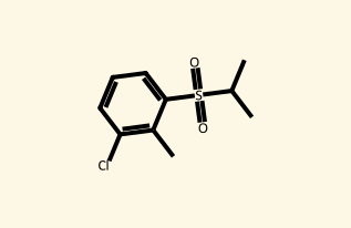 Cc1c(Cl)cccc1S(=O)(=O)C(C)C